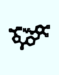 COc1ccc(Cl)c(Cl)c1CC1CCN(C(=O)[C@@H]2CCN(C(=O)O)C2)CC1